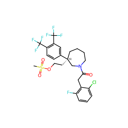 CS(=O)(=O)OCC[C@]1(c2ccc(C(F)(F)F)c(C(F)(F)F)c2)CCCCN(C(=O)Cc2c(F)cccc2Cl)C1